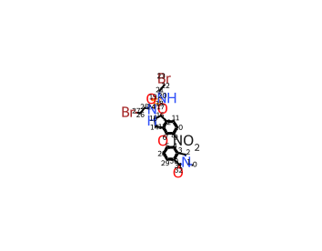 CN1Cc2cc(Oc3c([N+](=O)[O-])ccc4c3CCC4OP(=O)(NCCBr)NCCBr)ccc2C1=O